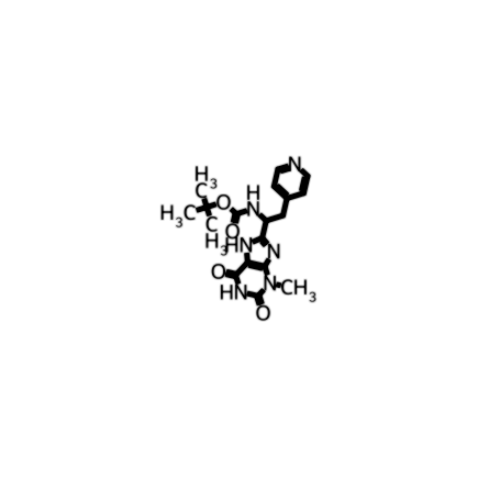 Cn1c(=O)[nH]c(=O)c2[nH]c(C(Cc3ccncc3)NC(=O)OC(C)(C)C)nc21